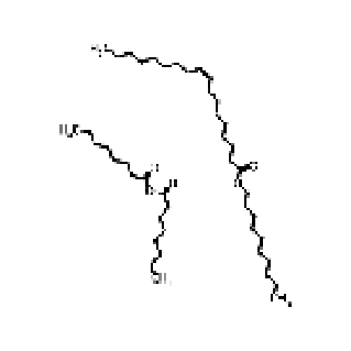 CCCCCCCC(=O)OC(=O)CCCCCCC.CCCCCCCC/C=C\CCCCCCCC(=O)OCCCCCCCCCC